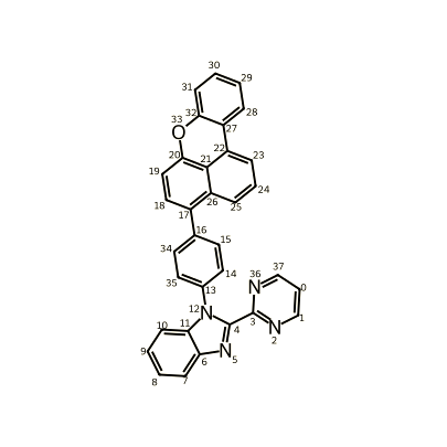 c1cnc(-c2nc3ccccc3n2-c2ccc(-c3ccc4c5c(cccc35)-c3ccccc3O4)cc2)nc1